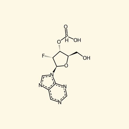 O=[PH](O)O[C@H]1[C@@H](F)[C@H](n2cnc3cncnc32)O[C@@H]1CO